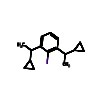 CC(c1cccc(C(C)C2CC2)c1I)C1CC1